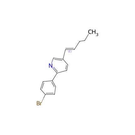 CCC/C=C/c1ccc(-c2ccc(Br)cc2)nc1